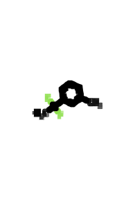 [CH2]C(F)(F)c1cccc(C)c1